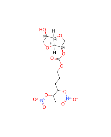 CC(O[N+](=O)[O-])C(CCCOC(=O)O[C@@H]1CO[C@H]2[C@@H]1OC[C@H]2O)O[N+](=O)[O-]